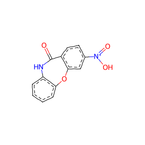 O=C1Nc2ccccc2Oc2cc([N+](=O)O)ccc21